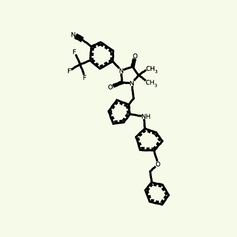 CC1(C)C(=O)N(c2ccc(C#N)c(C(F)(F)F)c2)C(=O)N1Cc1ccccc1Nc1ccc(OCc2ccccc2)cc1